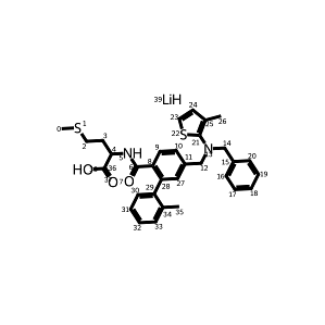 CSCCC(NC(=O)c1ccc(CN(Cc2ccccc2)c2sccc2C)cc1-c1ccccc1C)C(=O)O.[LiH]